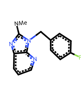 CNc1nc2cccnc2n1Cc1ccc(F)cc1